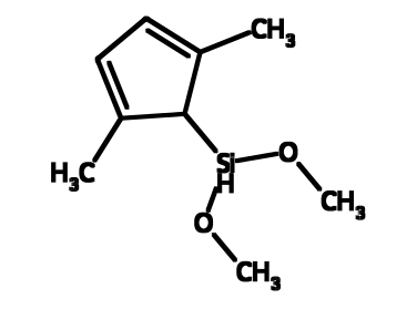 CO[SiH](OC)C1C(C)=CC=C1C